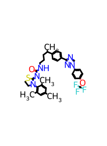 Cc1cc(C)c(N2CCS/C2=N\C(=O)NCCCC(C)c2ccc(-c3ncn(-c4ccc(OC(F)(F)F)cc4)n3)cc2)c(C)c1